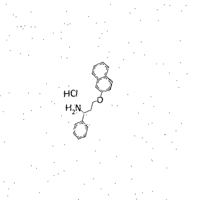 Cl.NC(CCOc1ccc2ccccc2c1)c1ccccc1